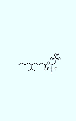 CCCCC(CCCC(=O)OC(CS(=O)(=O)O)C(F)(F)F)C(C)C